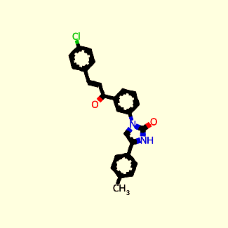 Cc1ccc(-c2cn(-c3cccc(C(=O)C=Cc4ccc(Cl)cc4)c3)c(=O)[nH]2)cc1